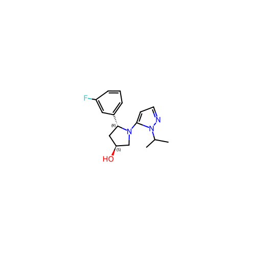 CC(C)n1nccc1N1C[C@@H](O)C[C@@H]1c1cccc(F)c1